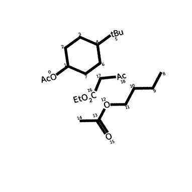 CC(=O)OC1CCC(C(C)(C)C)CC1.CCCCOC(C)=O.CCOC(=O)CC(C)=O